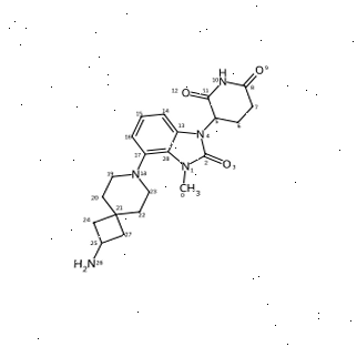 Cn1c(=O)n(C2CCC(=O)NC2=O)c2cccc(N3CCC4(CC3)CC(N)C4)c21